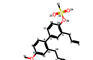 C=CCc1cc(-c2ccc(OC)cc2CCC)ccc1OS(C)(=O)=O